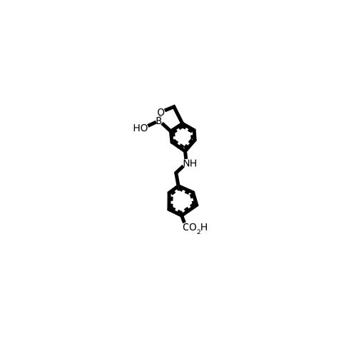 O=C(O)c1ccc(CNc2ccc3c(c2)B(O)OC3)cc1